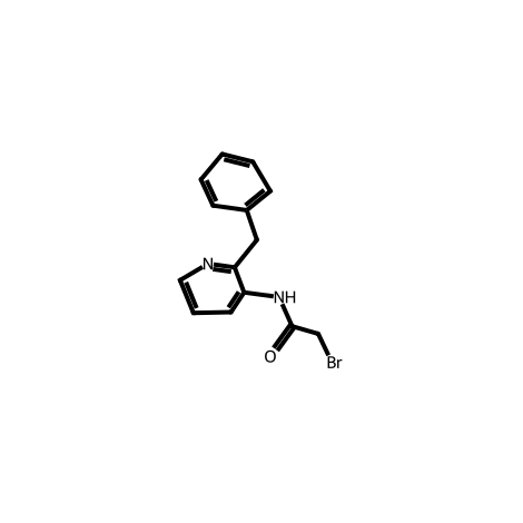 O=C(CBr)Nc1cccnc1Cc1ccccc1